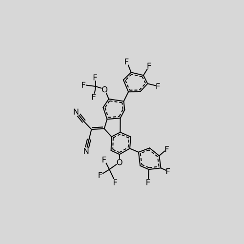 N#CC(C#N)=C1c2cc(OC(F)(F)F)c(-c3cc(F)c(F)c(F)c3)cc2-c2cc(-c3cc(F)c(F)c(F)c3)c(OC(F)(F)F)cc21